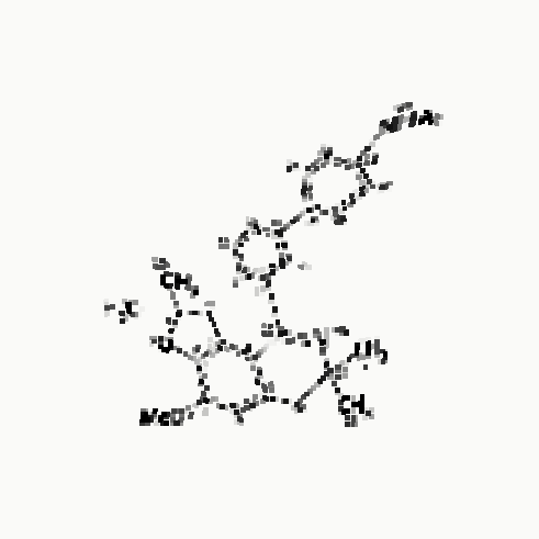 COc1cc2c(c3c1OC(C)(C)C3)C(c1cccc(-c3ccc(NC(C)=O)cc3)c1)=NC(C)(C)C2